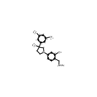 CC(=O)NCc1ccc(N2CCC(c3cc(C(F)(F)F)cc(C(F)(F)F)c3)(C(F)(F)F)C2)cc1Cl